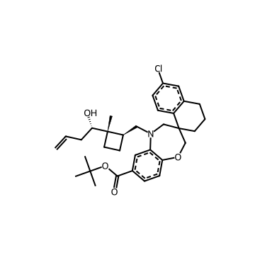 C=CC[C@H](O)[C@@]1(C)CC[C@@H]1CN1CC2(CCCc3cc(Cl)ccc32)COc2ccc(C(=O)OC(C)(C)C)cc21